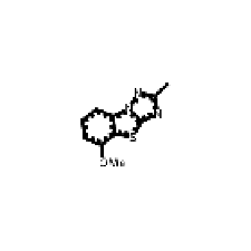 COc1cccc2c1sc1nc(C)nn12